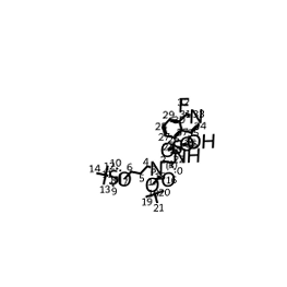 C[C@H](CN(CCCO[Si](C)(C)C(C)(C)C)C(=O)OC(C)(C)C)NS(=O)(=O)c1cccc2c(F)ncc(O)c12